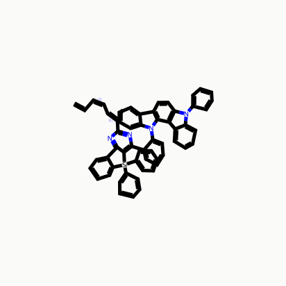 C=C/C=C\C=C(/C)c1nc(-c2ccccc2-n2c3ccccc3c3ccc4c(c5ccccc5n4-c4ccccc4)c32)c2c(n1)-c1ccccc1[Si]2(c1ccccc1)c1ccccc1